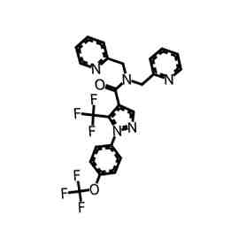 O=C(c1cnn(-c2ccc(OC(F)(F)F)cc2)c1C(F)(F)F)N(Cc1ccccn1)Cc1ccccn1